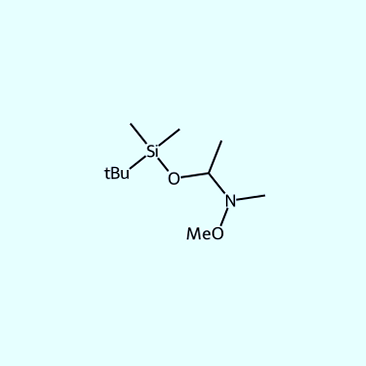 CON(C)C(C)O[Si](C)(C)C(C)(C)C